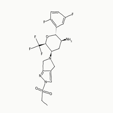 CCS(=O)(=O)n1cc2c(n1)CN([C@@H]1C[C@H](N)[C@@H](c3cc(F)ccc3F)O[C@@H]1C(F)(F)F)C2